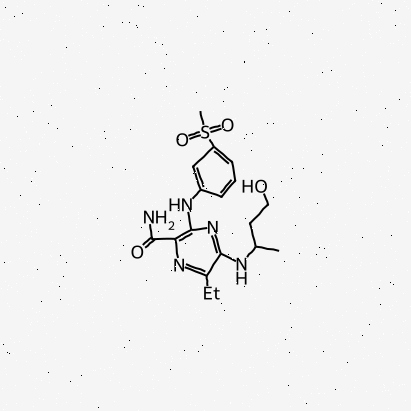 CCc1nc(C(N)=O)c(Nc2cccc(S(C)(=O)=O)c2)nc1NC(C)CCO